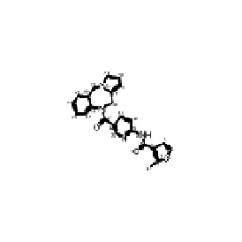 Cc1occc1C(=O)Nc1ccc(C(=O)N2Cc3cccn3Cc3ccccc32)cn1